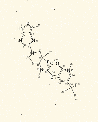 Cc1c[nH]c2ncc(N3CCC(N(C)C(=O)Nc4cc(C(F)(F)F)cn(C)c4=O)C(F)(F)C3)nc12